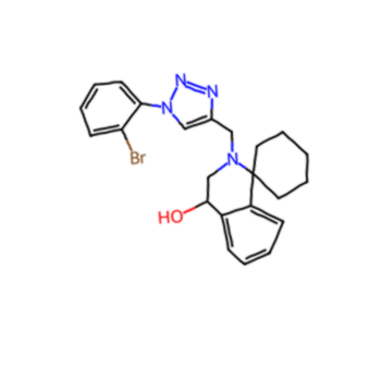 OC1CN(Cc2cn(-c3ccccc3Br)nn2)C2(CCCCC2)c2ccccc21